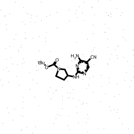 CC(C)(C)OC(=O)N1CCC(Nc2ncc(C#N)c(N)n2)C1